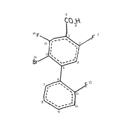 O=C(O)c1c(F)cc(-c2ccccc2F)c(Br)c1F